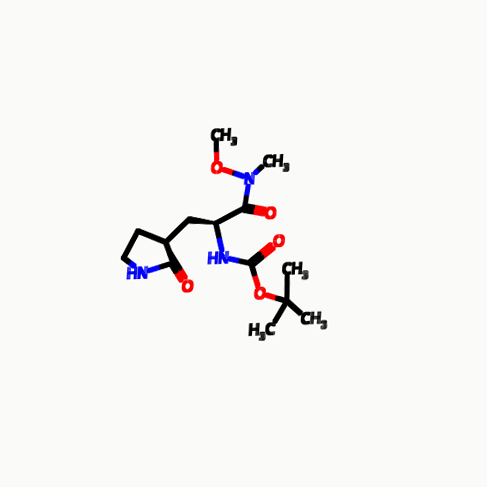 CON(C)C(=O)[C@H](CC1CCNC1=O)NC(=O)OC(C)(C)C